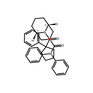 O=C(N1C[C@H]2CCC[C@@H](C1)N2C(=O)C1(c2ccccc2)CCCC1)N(c1ccccc1)c1ccccc1